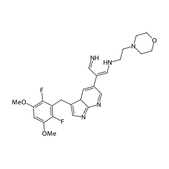 COc1cc(OC)c(F)c(CC2=CN=C3N=CC(/C(C=N)=C/NCCN4CCOCC4)=CC23)c1F